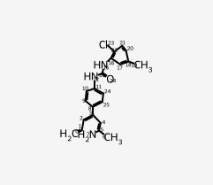 C=C/C=C(\C=C(\C)N)c1ccc(NC(=O)Nc2cc(C)ccc2Cl)cc1